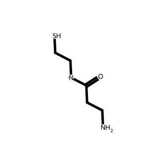 NCCC(=O)[N]CCS